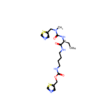 COC[C@H](NC(=O)N(C)Cc1cncs1)C(=O)NCCCCNC(=O)OCc1cncs1